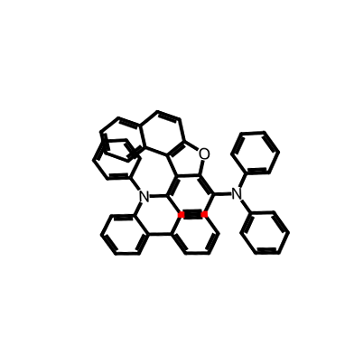 c1ccc(-c2ccccc2N(c2ccccc2)c2ccc(N(c3ccccc3)c3ccccc3)c3oc4ccc5ccccc5c4c23)cc1